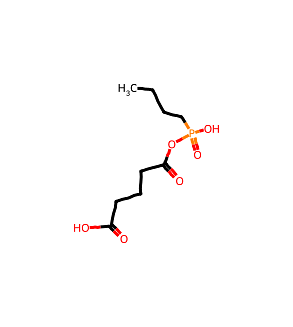 CCCCP(=O)(O)OC(=O)CCCC(=O)O